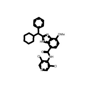 COc1ccc(C(=O)Nc2c(Cl)cncc2Cl)c2[nH]c(C(c3ccccc3)C3CCCCC3)nc12